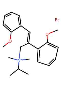 COc1ccccc1C=C(C[N+](C)(C)C(C)C)c1ccccc1OC.[Br-]